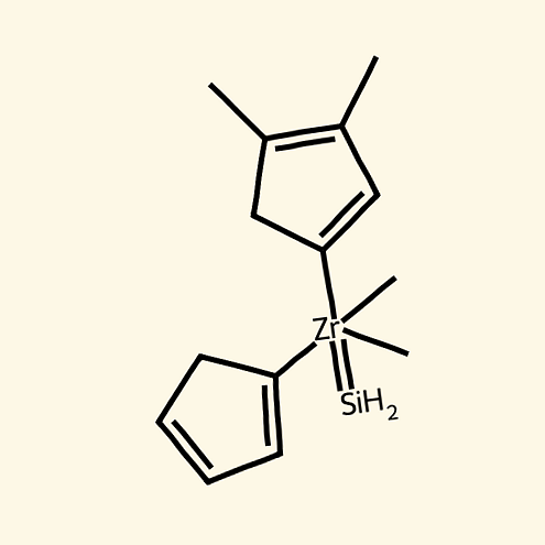 CC1=C(C)C[C]([Zr]([CH3])([CH3])(=[SiH2])[C]2=CC=CC2)=C1